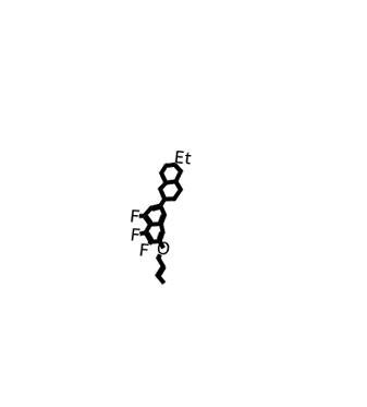 C/C=C/COc1cc2cc(C3CCC4CC(CC)CCC4C3)cc(F)c2c(F)c1F